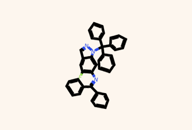 Fc1cc2cnn(C(c3ccccc3)(c3ccccc3)c3ccccc3)c2cc1N=C(c1ccccc1)c1ccccc1